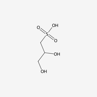 O=S(=O)(O)CC(O)CO